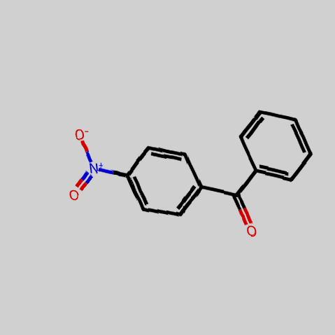 O=C(c1ccccc1)c1ccc([N+](=O)[O-])cc1